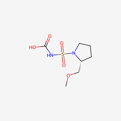 COC[C@H]1CCCN1S(=O)(=O)NC(=O)O